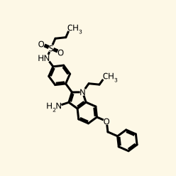 CCCn1c(-c2ccc(NS(=O)(=O)CCC)cc2)c(N)c2ccc(OCc3ccccc3)cc21